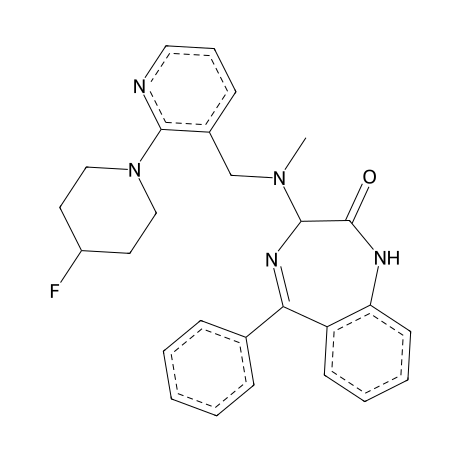 CN(Cc1cccnc1N1CCC(F)CC1)C1N=C(c2ccccc2)c2ccccc2NC1=O